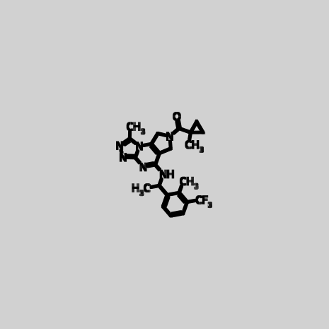 Cc1c(C(C)Nc2nc3nnc(C)n3c3c2CN(C(=O)C2(C)CC2)C3)cccc1C(F)(F)F